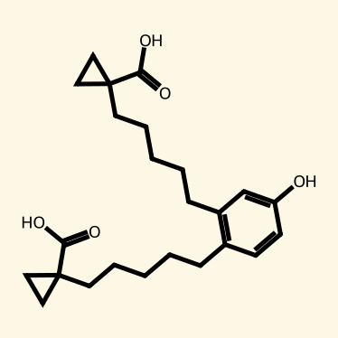 O=C(O)C1(CCCCCc2ccc(O)cc2CCCCCC2(C(=O)O)CC2)CC1